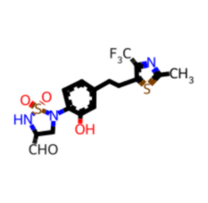 Cc1nc(C(F)(F)F)c(CCc2ccc(N3CC(C=O)NS3(=O)=O)c(O)c2)s1